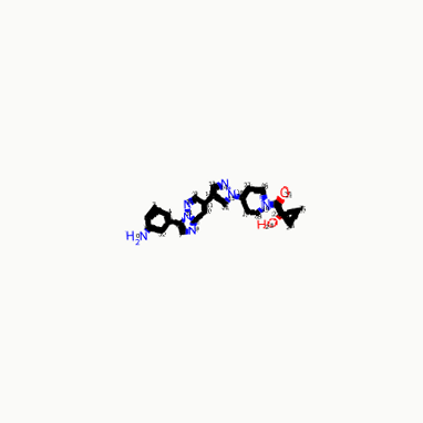 Nc1cccc(-c2cnc3cc(-c4cnn(C5CCN(C(=O)C6(O)CC6)CC5)c4)cnn23)c1